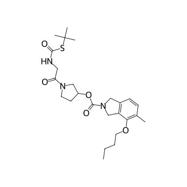 CCCCOc1c(C)ccc2c1CN(C(=O)OC1CCN(C(=O)CNC(=O)SC(C)(C)C)C1)C2